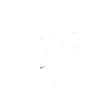 N=C(N)N.O=C(O)[C@H](O)[C@@H](O)[C@H](O)[C@H](O)CO